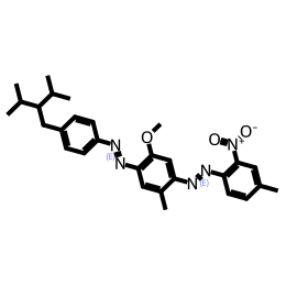 COc1cc(/N=N/c2ccc(C)cc2[N+](=O)[O-])c(C)cc1/N=N/c1ccc(CC(C(C)C)C(C)C)cc1